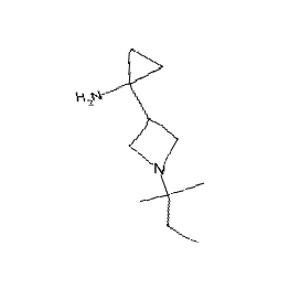 CCC(C)(C)N1CC(C2(N)CC2)C1